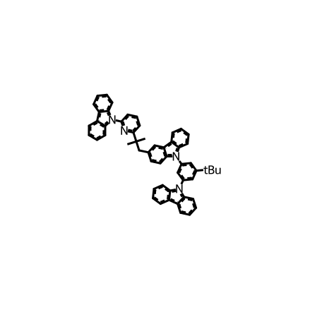 CC(C)(C)c1cc(-n2c3ccccc3c3ccccc32)cc(-n2c3ccccc3c3cc(CC(C)(C)c4cccc(-n5c6ccccc6c6ccccc65)n4)ccc32)c1